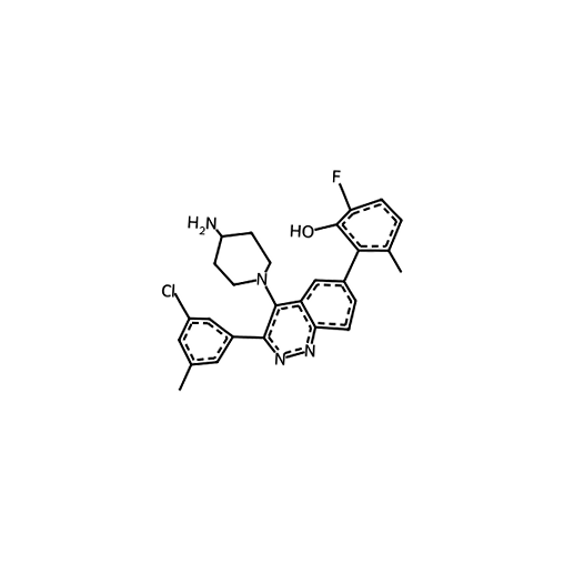 Cc1cc(Cl)cc(-c2nnc3ccc(-c4c(C)ccc(F)c4O)cc3c2N2CCC(N)CC2)c1